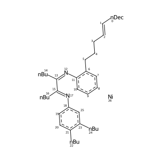 CCCCCCCCCCC=CCCCc1ccccc1N=C(CCCC)C(CCCC)=Nc1ccc(CCCC)c(CCCC)c1.[Ni]